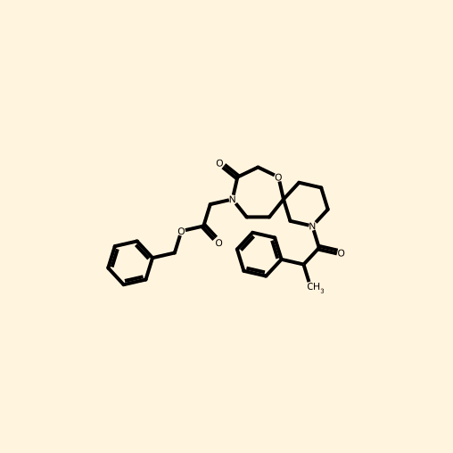 CC(C(=O)N1CCCC2(CCN(CC(=O)OCc3ccccc3)C(=O)CO2)C1)c1ccccc1